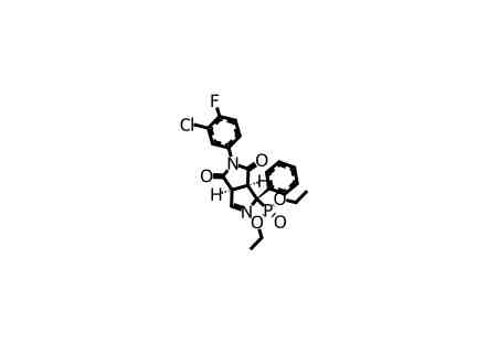 CCOP(=O)(OCC)[C@]1(c2ccccc2)N=C[C@H]2C(=O)N(c3ccc(F)c(Cl)c3)C(=O)[C@H]21